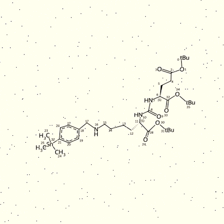 CC(C)(C)OC(=O)CC[C@H](NC(=O)N[C@@H](CCCCNCc1cc[c]([Sn]([CH3])([CH3])[CH3])cc1)C(=O)OC(C)(C)C)C(=O)OC(C)(C)C